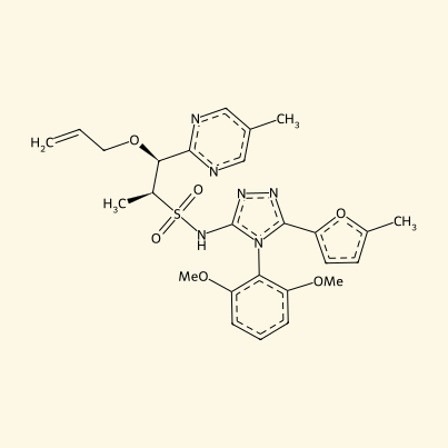 C=CCO[C@@H](c1ncc(C)cn1)[C@H](C)S(=O)(=O)Nc1nnc(-c2ccc(C)o2)n1-c1c(OC)cccc1OC